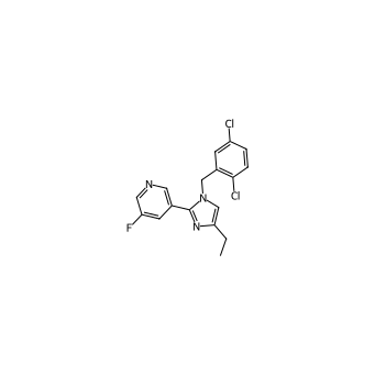 CCc1cn(Cc2cc(Cl)ccc2Cl)c(-c2cncc(F)c2)n1